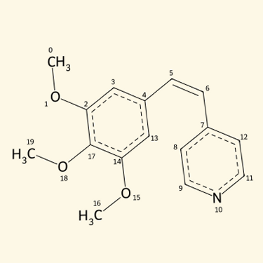 COc1cc(/C=C\c2ccncc2)cc(OC)c1OC